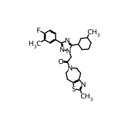 Cc1nc2c(s1)CCN(C(=O)Cn1nc(-c3ccc(F)c(C)c3)nc1C1CCCC(C)C1)CC2